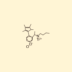 CCCC[N]([Ti+2])C(C)c1ccccc1C1=C(C)C(C)=C(C)C1C.[Cl-].[Cl-]